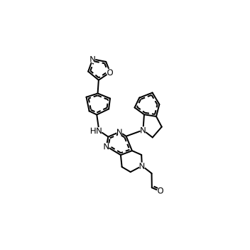 O=CCN1CCc2nc(Nc3ccc(-c4cnco4)cc3)nc(N3CCc4ccccc43)c2C1